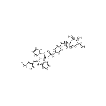 C=N/C(=C\C=C/C)CN(CCN(CC(=O)Nc1ccc(CC(=O)N[C@H]2C(O)O[C@H](CO)[C@@H](O)[C@@H]2O)cc1)Cc1ccccn1)Cc1ccccn1